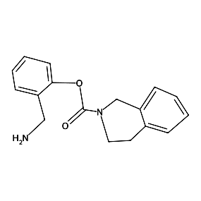 NCc1ccccc1OC(=O)N1CCc2ccccc2C1